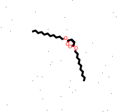 CCCCCCCCCCCOC(=O)/C=C\C(=O)OCCCCCCCCCCC